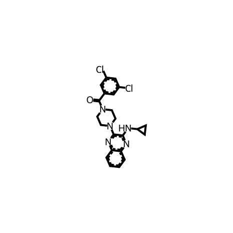 O=C(c1cc(Cl)cc(Cl)c1)N1CCN(c2nc3ccccc3nc2NC2CC2)CC1